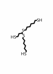 SCCCCCCSC(CCS)SCCCCCCS